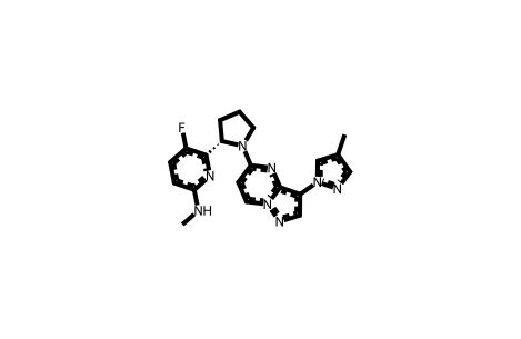 CNc1ccc(F)c([C@@H]2CCCN2c2ccn3ncc(-n4cc(C)cn4)c3n2)n1